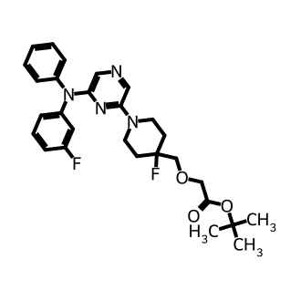 CC(C)(C)OC(=O)COCC1(F)CCN(c2cncc(N(c3ccccc3)c3cccc(F)c3)n2)CC1